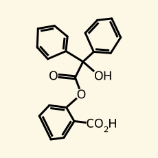 O=C(O)c1ccccc1OC(=O)C(O)(c1ccccc1)c1ccccc1